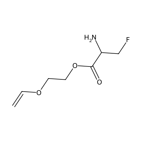 C=COCCOC(=O)C(N)CF